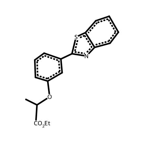 CCOC(=O)C(C)Oc1cccc(-c2nc3ccccc3s2)c1